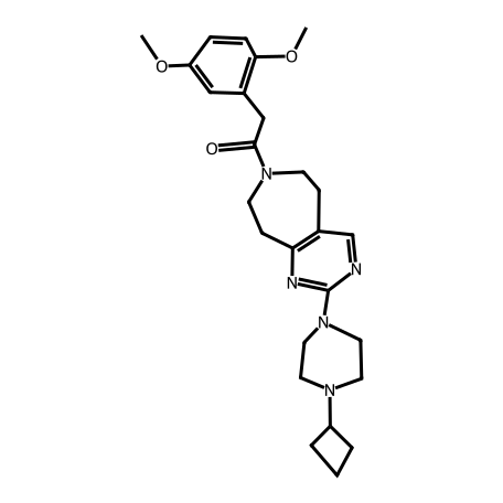 COc1ccc(OC)c(CC(=O)N2CCc3cnc(N4CCN(C5CCC5)CC4)nc3CC2)c1